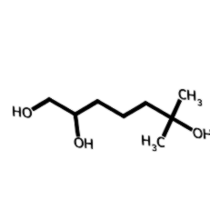 CC(C)(O)CCCC(O)CO